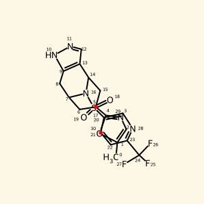 Cc1cnc(C2CC3Cc4[nH]ncc4C(C2)N3S(=O)(=O)c2ccc(C(F)(F)F)nc2)o1